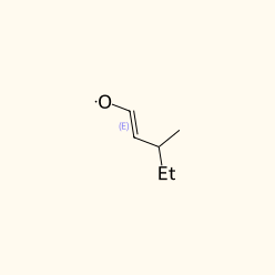 CCC(C)/C=C/[O]